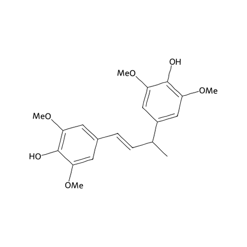 COc1cc(/C=C/C(C)c2cc(OC)c(O)c(OC)c2)cc(OC)c1O